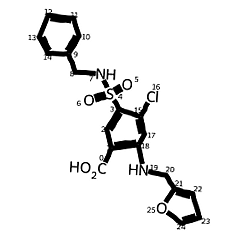 O=C(O)c1cc(S(=O)(=O)NCc2ccccc2)c(Cl)cc1NCc1ccco1